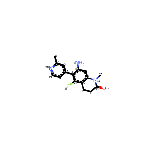 Cc1cc(-c2c(N)cc3c(c2F)CCC(=O)N3C)ccn1